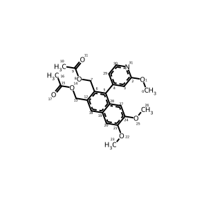 COc1cc(-c2c(COC(C)=O)c(COC(C)=O)cc3cc(OC)c(OC)cc23)ccn1